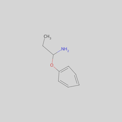 CCC(N)Oc1ccccc1